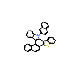 c1ccc2cc(-n3c4ccccc4c4c5c6ccccc6ccc5c5sc6ccccc6c5c43)ccc2c1